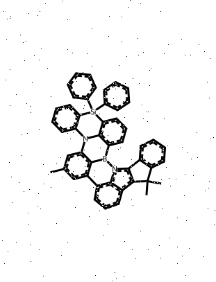 Cc1cc2c3c(c1)N1c4ccccc4[Si](c4ccccc4)(c4ccccc4)c4cccc(c41)B3n1c3c(c4cccc-2c41)C(C)(C)c1ccccc1-3